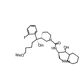 CNC[C@@H](NC(=O)N1CCC[C@@H]([C@@](O)(CCCCOC)c2ccccc2F)C1)[C@@H](O)C1CCCCC1